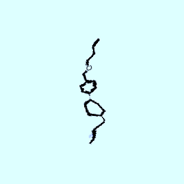 C=CCCOCc1ccc([C@H]2CC[C@H](C/C=C/C)CC2)cc1